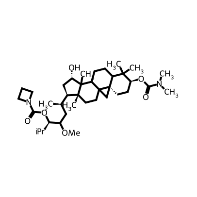 COC(C[C@@H](C)[C@H]1C[C@H](O)C2(C)C3CCC4C(C)(C)[C@@H](OC(=O)N(C)C)CC[C@@]45CC35CC[C@]12C)[C@H](OC(=O)N1CCC1)C(C)C